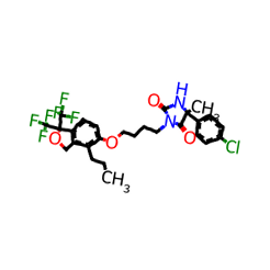 CCCc1c(OCCCCN2C(=O)NC(C)(c3ccc(Cl)cc3)C2=O)ccc2c1COC2(C(F)(F)F)C(F)(F)F